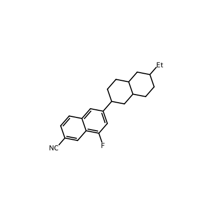 CCC1CCC2CC(c3cc(F)c4cc(C#N)ccc4c3)CCC2C1